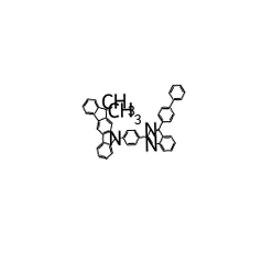 CC1(C)c2ccccc2-c2cc3c4ccccc4n(-c4ccc(-c5nc(-c6ccc(-c7ccccc7)cc6)c6ccccc6n5)cc4)c3cc21